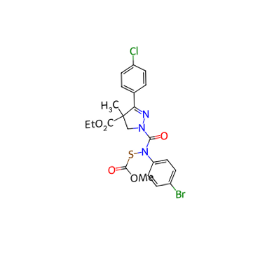 CCOC(=O)C1(C)CN(C(=O)N(SC(=O)OC)c2ccc(Br)cc2)N=C1c1ccc(Cl)cc1